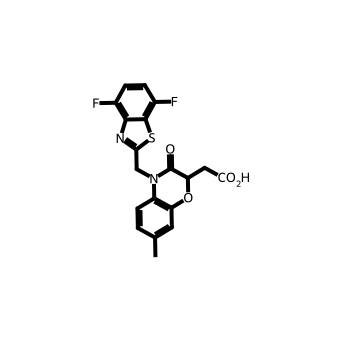 Cc1ccc2c(c1)OC(CC(=O)O)C(=O)N2Cc1nc2c(F)ccc(F)c2s1